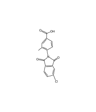 Cc1cc(C(=O)O)ccc1N1C(=O)c2ccc(Cl)cc2C1=O